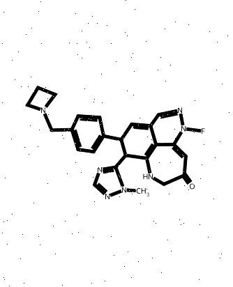 Cn1ncnc1C1C2=C3C(=CC1c1ccc(CN4CCC4)cc1)C=NN(F)C3=CC(=O)CN2